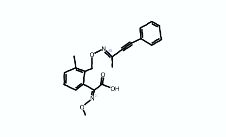 CO/N=C(/C(=O)O)c1cccc(C)c1CO/N=C(\C)C#Cc1ccccc1